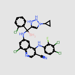 BC(Nc1cc(Cl)c2ncc(C#N)c(Nc3ccc(Cl)c(Cl)c3F)c2c1)(C1=CN(C2CC2)NN1)c1ccccc1Cl